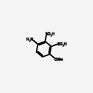 COc1ccc(N)c(S(=O)(=O)O)c1S(=O)(=O)O